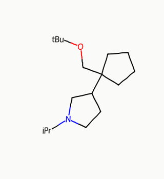 CC(C)N1CCC(C2(COC(C)(C)C)CCCC2)C1